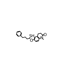 CN1C(=O)CCc2cc(OC(S)CCCc3ccccc3)ccc21